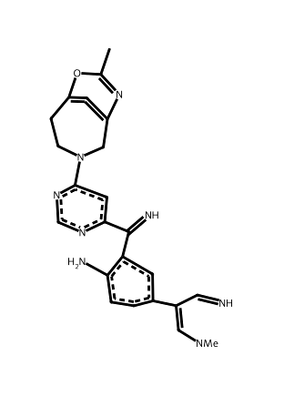 CN/C=C(\C=N)c1ccc(N)c(C(=N)c2cc(N3CCC4=C=C(C3)N=C(C)O4)ncn2)c1